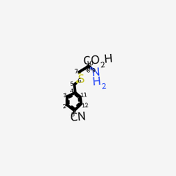 N#Cc1ccc(CSC[C@H](N)C(=O)O)cc1